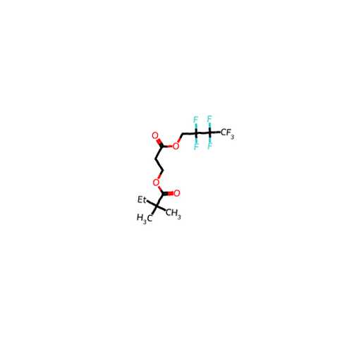 CCC(C)(C)C(=O)OCCC(=O)OCC(F)(F)C(F)(F)C(F)(F)F